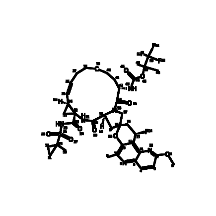 COc1ccc2nc(C)c3c(c2n1)[C@H](F)C[C@]1(C[C@H]2C(=O)N[C@]4(C(=O)NS(=O)(=O)C5(C)CC5)C[C@H]4/C=C\CCCCC[C@H](NC(=O)OC(C)(C)C(F)(F)F)C(=O)N2C1)O3